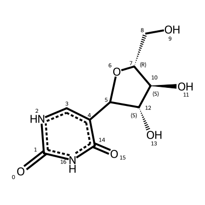 O=c1[nH]cc(C2O[C@H](CO)[C@@H](O)[C@@H]2O)c(=O)[nH]1